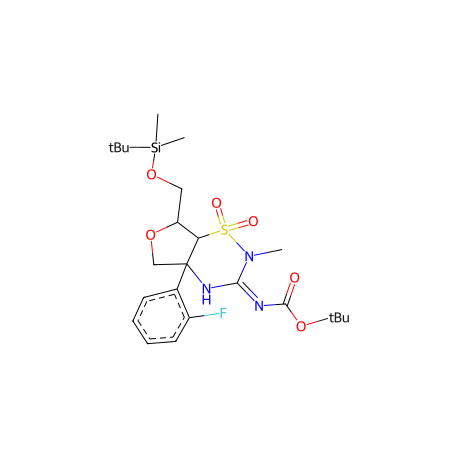 CN1/C(=N\C(=O)OC(C)(C)C)NC2(c3ccccc3F)COC(CO[Si](C)(C)C(C)(C)C)C2S1(=O)=O